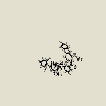 Cc1cccc(C)c1-c1cc(O)nc(NS(=O)(=O)c2cccc(C(=O)N3CCCN(Cc4ccccc4)[C@@H](CC(C)C)C3)c2)n1